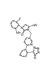 CCCc1cccc(F)c1-n1cc(CCC)n(Cc2ccc(-c3ccccc3-c3nnn[nH]3)nc2)c1=O